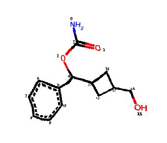 NC(=O)OC(c1ccccc1)C1CC(CO)C1